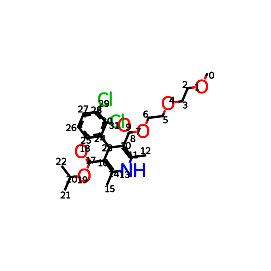 COCCOCCOC(=O)C1=C(C)NC(C)=C(C(=O)OC(C)C)C1c1cccc(Cl)c1Cl